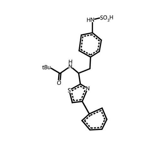 CC(C)(C)C(=O)NC(Cc1ccc(NS(=O)(=O)O)cc1)c1nc(-c2ccccc2)cs1